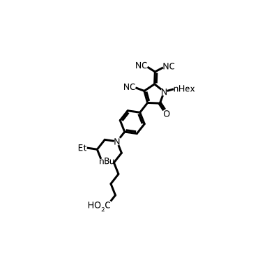 [C-]#[N+]/C(C#N)=C1/C(C#N)=C(c2ccc(N(CCCCCC(=O)O)CC(CC)CCCC)cc2)C(=O)N1CCCCCC